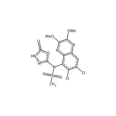 COc1nc2cc(Cl)c(Cl)c(N(c3n[nH]c(=O)o3)S(C)(=O)=O)c2nc1OC